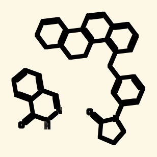 O=C1CCCN1c1cccc(Cc2cccc3ccc4c(c23)CCC2=C4C=CCC2)c1.O=c1[nH]ncc2ccccc12